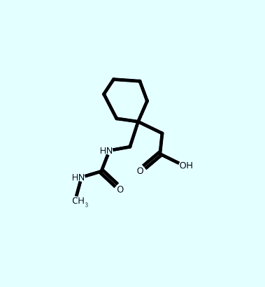 CNC(=O)NCC1(CC(=O)O)CCCCC1